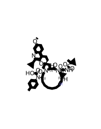 COc1ccc2c3c(c(C4CC4)nc2c1)O[C@]1(CC3)C[C@H]2C(=O)N[C@]3(C(=O)NS(=O)(=O)C4(C)CC4)C[C@H]3/C=C\CCCCC[C@H](N(C(=O)O)c3ccc(C)cc3)C(=O)N2C1